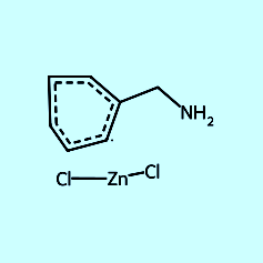 NCc1[c]cccc1.[Cl][Zn][Cl]